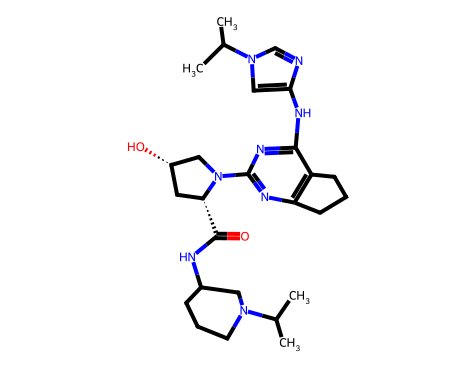 CC(C)N1CCCC(NC(=O)[C@@H]2C[C@H](O)CN2c2nc3c(c(Nc4cn(C(C)C)cn4)n2)CCC3)C1